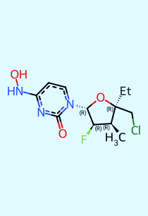 CC[C@@]1(CCl)O[C@@H](n2ccc(NO)nc2=O)[C@H](F)[C@@H]1C